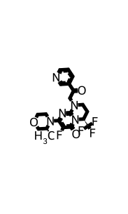 C[C@@H]1COCCN1c1nc2n(c(=O)c1F)[C@@H](C(F)(F)F)CCN2CC(=O)c1cccnc1